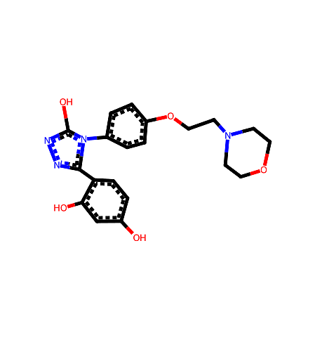 Oc1ccc(-c2nnc(O)n2-c2ccc(OCCN3CCOCC3)cc2)c(O)c1